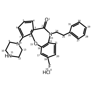 Cl.O=C1c2cccc(N3CCNCC3)c2Oc2cc(F)ccc2N1CCc1ccccc1